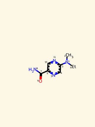 CCN(C)c1cnc(C(N)=O)cn1